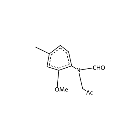 COc1cc(C)ccc1N(C=O)CC(C)=O